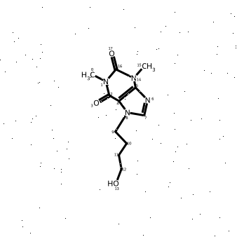 Cn1c(=O)c2c(ncn2CCCCO)n(C)c1=O